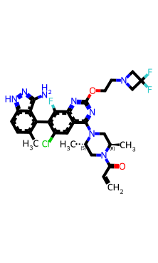 C=CC(=O)N1C[C@H](C)N(c2nc(OCCN3CC(F)(F)C3)nc3c(F)c(-c4c(C)ccc5[nH]nc(N)c45)c(Cl)cc23)C[C@H]1C